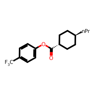 CCC[C@H]1CC[C@H](C(=O)Oc2ccc(C(F)(F)F)cc2)CC1